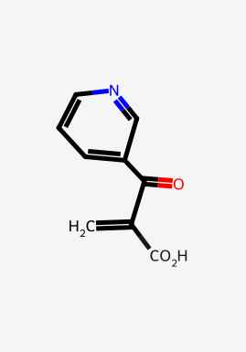 C=C(C(=O)O)C(=O)c1cccnc1